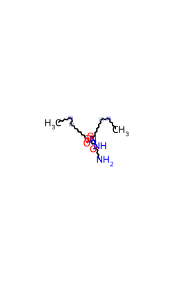 CCCCC/C=C\C/C=C\CCCCCCCCOC(=O)C1CC(NC(=O)CCCCN)CN1C(=O)CCCCCCC/C=C\C/C=C\CCCCC